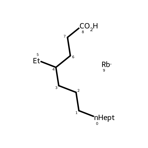 CCCCCCCCCCC(CC)CCC(=O)O.[Rb]